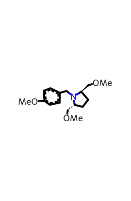 COC[C@H]1CC[C@H](COC)N1Cc1ccc(OC)cc1